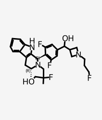 C[C@@H]1Cc2c([nH]c3ccccc23)[C@@H](c2c(F)cc(C(O)C3CN(CCCF)C3)cc2F)N1CC(C)(F)CO